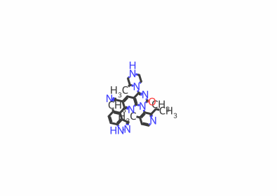 Cc1ccnc(C(C)C)c1-n1c(=O)nc(N2CCNCC2C)c2cc(C#N)c(-c3c(C)ccc4[nH]ncc34)nc21